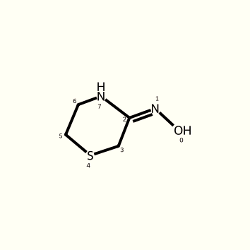 ON=C1CSCCN1